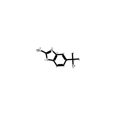 CCC(C)(C)c1ccc2sc(C(C)(C)C)nc2c1